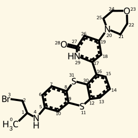 CC(CBr)Nc1ccc2c(c1)Sc1cccc(-c3cc(N4CCOCC4)cc(=O)[nH]3)c1S2